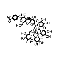 O=[N+]([O-])c1ccc(O[C@H]2O[C@H](CO)[C@@H](O[C@H]3O[C@H](CO)[C@@H](O[C@H]4O[C@H](CO)[C@@H](O[C@H]5O[C@H](CO)[C@@H](O[C@H]6O[C@H](CO)[C@@H](O[C@H]7O[C@H](CO)[C@@H](O)[C@H](O)[C@H]7O)[C@H](O)[C@H]6O)[C@H](O)[C@H]5O)[C@H](O)[C@H]4O)[C@H](O)[C@H]3O)[C@H](O)[C@H]2O)cc1